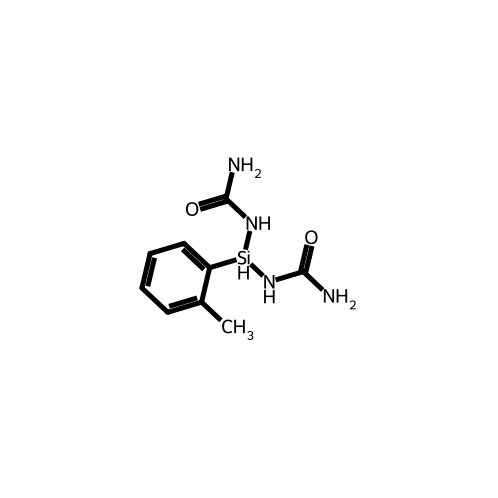 Cc1ccccc1[SiH](NC(N)=O)NC(N)=O